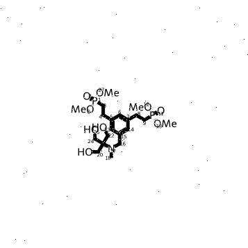 COP(=O)(CCc1cc(CCP(=O)(OC)OC)cc(CN(C)C(CO)(CO)CO)c1)OC